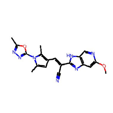 COc1cc2nc(/C(C#N)=C/c3cc(C)n(-c4nnc(C)o4)c3C)[nH]c2cn1